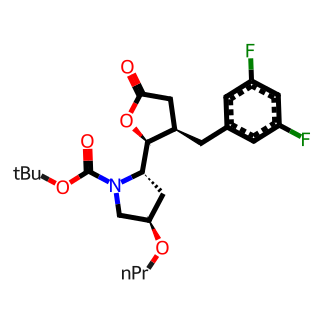 CCCO[C@@H]1C[C@@H]([C@H]2OC(=O)C[C@H]2Cc2cc(F)cc(F)c2)N(C(=O)OC(C)(C)C)C1